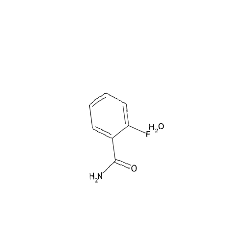 NC(=O)c1ccccc1F.O